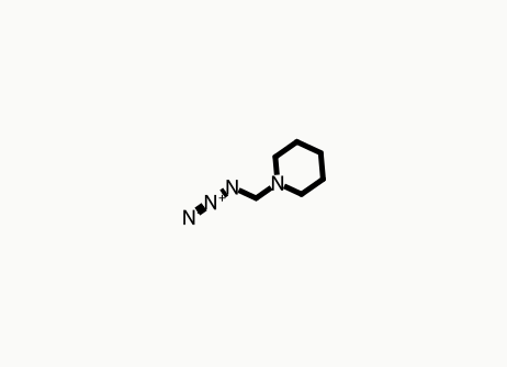 [N-]=[N+]=NCN1CCCCC1